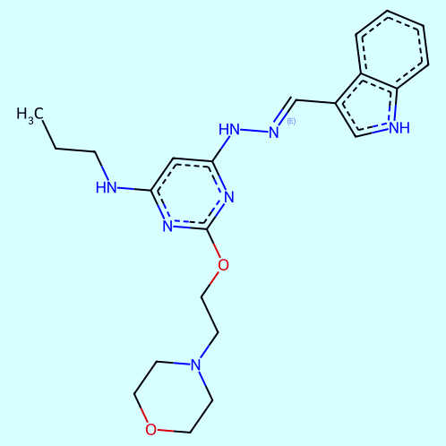 CCCNc1cc(N/N=C/c2c[nH]c3ccccc23)nc(OCCN2CCOCC2)n1